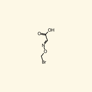 O=C(O)C=NOCBr